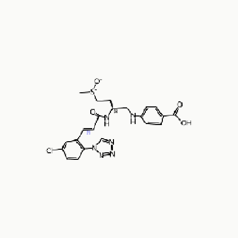 C[S+]([O-])CC[C@@H](CNc1ccc(C(=O)O)cc1)NC(=O)/C=C/c1cc(Cl)ccc1-n1cnnn1